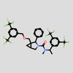 CC(c1cc(C(F)(F)F)cc(C(F)(F)F)c1)N(C)C(=O)N1CC2CC2(COCc2cc(C(F)(F)F)cc(C(F)(F)F)c2)C1c1ccccc1